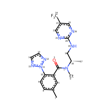 CCN(C(=O)c1cc(C)ccc1-n1nccn1)[C@@H](C)CNc1ncc(C(F)(F)F)cn1